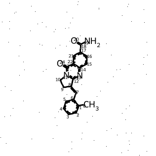 Cc1ccccc1C=C1CCn2c1nc1ccc(C(N)=O)cc1c2=O